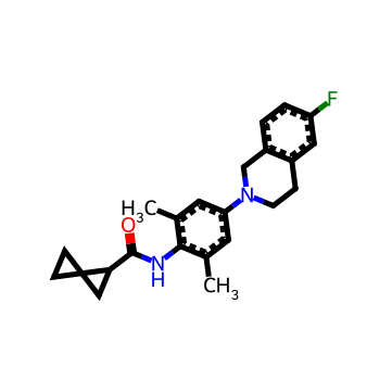 Cc1cc(N2CCc3cc(F)ccc3C2)cc(C)c1NC(=O)C1CC12CC2